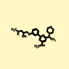 CNCC(O)COc1cccc(-c2nc(NC)cc(N(C)C3CCOCC3)n2)c1